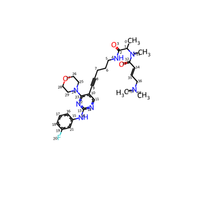 CC(C(=O)NCCCC#Cc1cnc(Nc2cccc(F)c2)nc1N1CCOCC1)N(C)C(=O)C=CCN(C)C